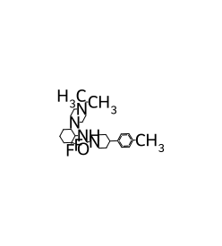 Cc1ccc(C2CCN(C(=O)NC3C(N4CCN(C(C)C)CC4)CCCC3(F)F)CC2)cc1